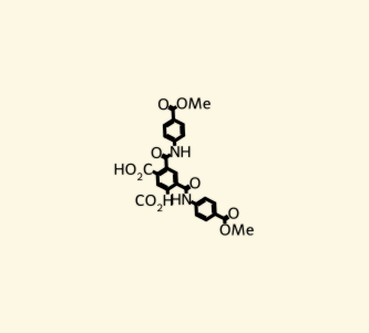 COC(=O)c1ccc(NC(=O)c2cc(C(=O)Nc3ccc(C(=O)OC)cc3)c(C(=O)O)cc2C(=O)O)cc1